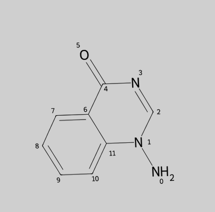 Nn1cnc(=O)c2ccccc21